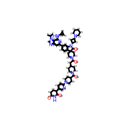 CC(C)n1cnc2cc(-c3ccc4c(c3)N([C@H]3C[C@@H](N5CCCCC5)C3)C(=O)C43CCN(C(=O)CC4CCN(C(=O)C5CCN(c6ccc(C7CCC(=O)NC7=O)cn6)CC5)CC4)CC3)nc(NC3CC3)c21